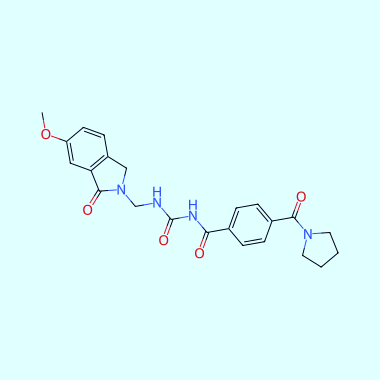 COc1ccc2c(c1)C(=O)N(CNC(=O)NC(=O)c1ccc(C(=O)N3CCCC3)cc1)C2